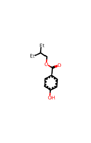 CCC(CC)COC(=O)c1ccc(O)cc1